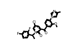 COc1cc(C(=O)c2cc(Cl)cn(C(C)c3ccc(F)cc3F)c2=O)ccc1-n1cnc(C)c1